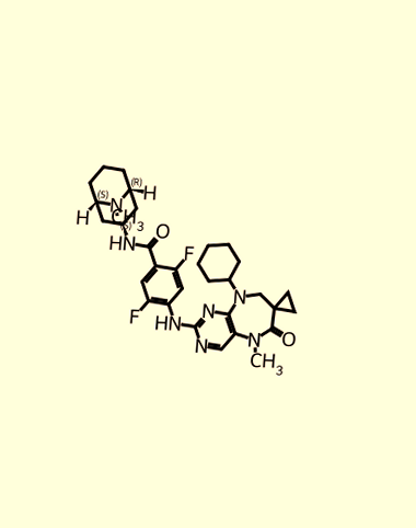 CN1C(=O)C2(CC2)CN(C2CCCCC2)c2nc(Nc3cc(F)c(C(=O)N[C@@H]4C[C@H]5CCC[C@@H](C4)N5C)cc3F)ncc21